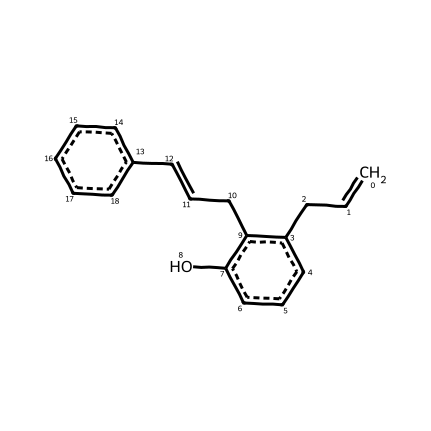 C=CCc1cccc(O)c1CC=Cc1ccccc1